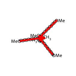 COCCOCCOCCOCCOCCOCCOCCOCCOCCOCCOCCOc1cc(CC2(Cc3cc(OCCOCCOCCOCCOCCOCCOCCOCCOCCOCCOCCOC)cc(OCCOCCOCCOCCOCCOCCOCCOCCOCCOCCOCCOC)c3)c3cc(C)ccc3-c3ccc(-c4ccc(C)c5nsnc45)cc32)cc(OCCOC)c1